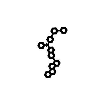 c1ccc(-c2cccc(-c3ccc(N(c4ccccc4)c4ccc5cc(-c6cccc7c6ccc6c8ccccc8ccc76)ccc5c4)cc3)c2)cc1